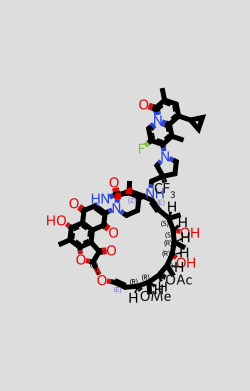 CO[C@H]1/C=C/O[C@@]2(C)Oc3c(C)c(O)c4c(c3C2=O)C(=O)C(N2CCC(NCC3(C(F)(F)F)CCN(c5c(F)cn6c(=O)c(C)cc(C7CC7)c6c5C)C3)CC2)=C(NC(=O)/C(C)=C\C=C\[C@H](C)[C@H](O)[C@@H](C)[C@@H](O)[C@@H](C)[C@H](OC(C)=O)[C@@H]1C)C4=O